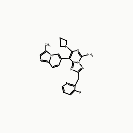 Cc1cnc2ccc(-c3c(N4CCC4)nc(N)n4nc(Cc5ncccc5F)nc34)cn12